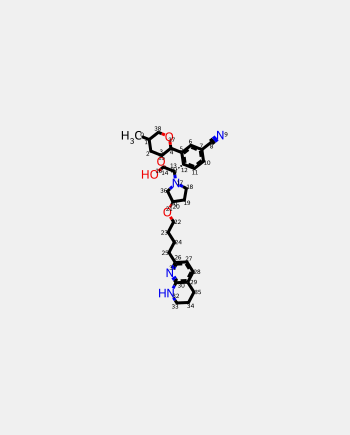 CC1CCC(c2cc(C#N)ccc2[C@@H](C(=O)O)N2CC[C@@H](OCCCCc3ccc4c(n3)NCCC4)C2)OC1